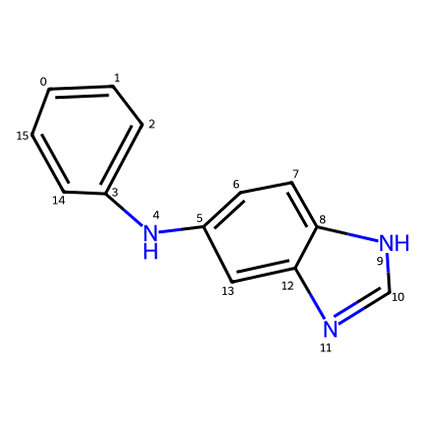 c1ccc(Nc2ccc3[nH]cnc3c2)cc1